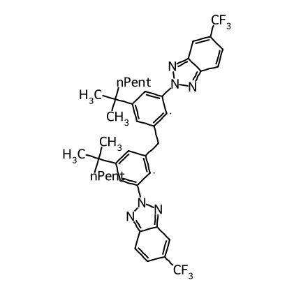 CCCCCC(C)(C)c1cc(Cc2[c]c(-n3nc4ccc(C(F)(F)F)cc4n3)cc(C(C)(C)CCCCC)c2)[c]c(-n2nc3ccc(C(F)(F)F)cc3n2)c1